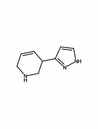 [CH]1NCC=CC1c1cc[nH]n1